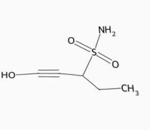 CCC(C#CO)S(N)(=O)=O